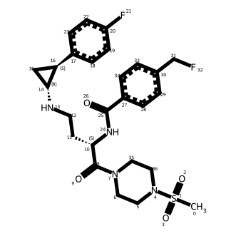 CS(=O)(=O)N1CCN(C(=O)[C@H](CCN[C@@H]2C[C@H]2c2ccc(F)cc2)NC(=O)c2ccc(CF)cc2)CC1